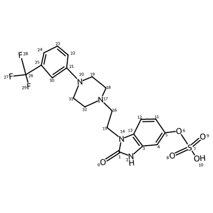 O=c1[nH]c2cc(OS(=O)(=O)O)ccc2n1CCN1CCN(c2cccc(C(F)(F)F)c2)CC1